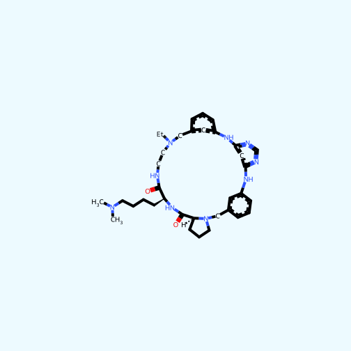 CCN1CCNC(=O)[C@H](CCCCN(C)C)NC(=O)[C@@H]2CCCN2Cc2cccc(c2)Nc2cc(ncn2)Nc2cccc(c2)C1